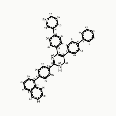 c1ccc(-c2ccc(C3=C(c4ccc(-c5cccnc5)cc4)N=C(c4ccc(-c5cccc6ccccc56)cc4)NC3)cc2)cc1